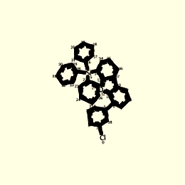 Clc1cccc(-c2cccc3c2oc2c([Si](c4ccccc4)(c4ccccc4)c4ccccc4)cccc23)c1